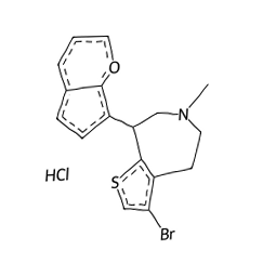 CN1CCc2c(Br)csc2C(c2ccc3cccoc2-3)C1.Cl